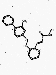 Cc1cc(CNc2ccccc2/C=C/C(=O)NO)ccc1-c1ccccc1